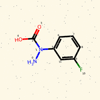 NN(C(=O)O)c1cccc(F)c1